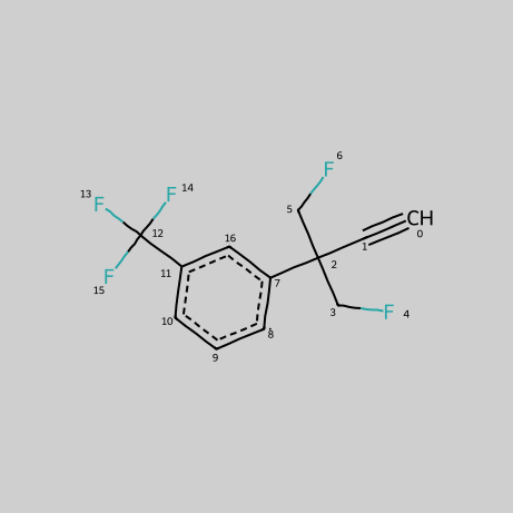 C#CC(CF)(CF)c1[c]ccc(C(F)(F)F)c1